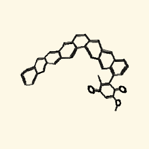 COC1=CC(=O)C(C)=C(c2cccc3cc4cc5ccc6cc7cc8cc9ccccc9cc8cc7cc6c5cc4cc23)C1=O